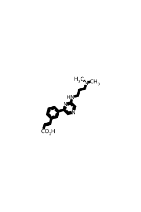 CN(C)CCCNc1cncc(-c2cccc(/C=C/C(=O)O)c2)n1